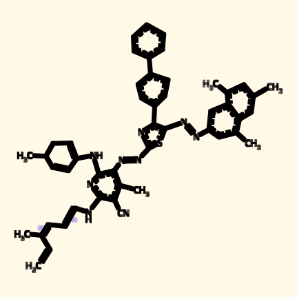 C=C/C(C)=C\C=C\Nc1nc(NC2=CCC(C)C=C2)c(N=Nc2nc(-c3ccc(-c4ccccc4)cc3)c(N=Nc3cc(C)c4cc(C)cc(C)c4c3)s2)c(C)c1C#N